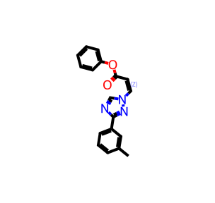 Cc1cccc(-c2ncn(/C=C\C(=O)Oc3ccccc3)n2)c1